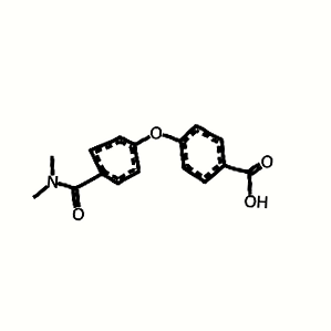 CN(C)C(=O)c1ccc(Oc2ccc(C(=O)O)cc2)cc1